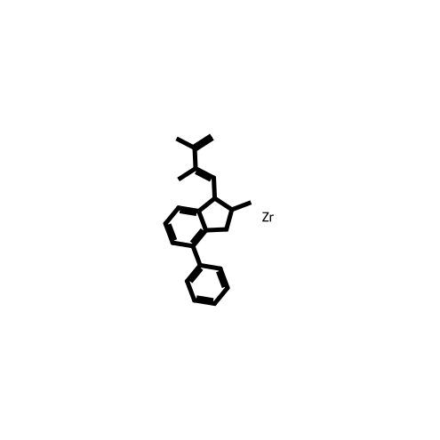 C=C(C)C(C)=CC1c2cccc(-c3ccccc3)c2CC1C.[Zr]